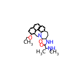 CCOc1ccc2ccccc2c1CN1C(=O)C(NC(=O)[C@H](C)NC)CCc2ccccc21